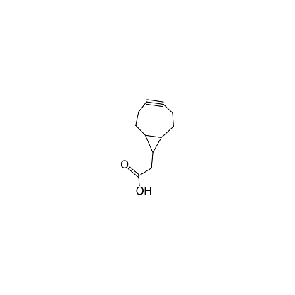 O=C(O)CC1C2CCC#CCCC21